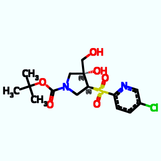 CC(C)(C)OC(=O)N1C[C@H](S(=O)(=O)c2ccc(Cl)cn2)[C@](O)(CO)C1